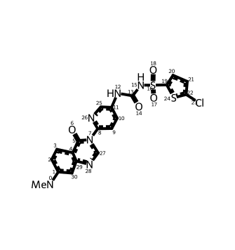 CNc1ccc2c(=O)n(-c3ccc(NC(=O)NS(=O)(=O)c4ccc(Cl)s4)cn3)cnc2c1